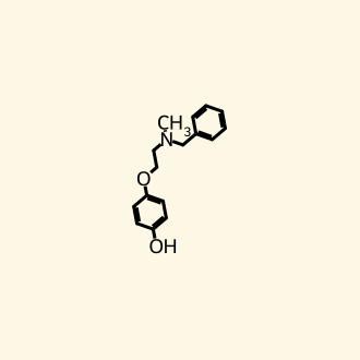 CN(CCOc1ccc(O)cc1)Cc1ccccc1